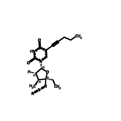 CCCC#Cc1cn([C@@H]2O[C@@](CC)(N=[N+]=[N-])[C@@H](C)[C@@H]2F)c(=O)[nH]c1=O